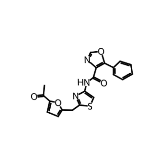 CC(=O)c1ccc(Cc2nc(NC(=O)c3ncoc3-c3ccccc3)cs2)o1